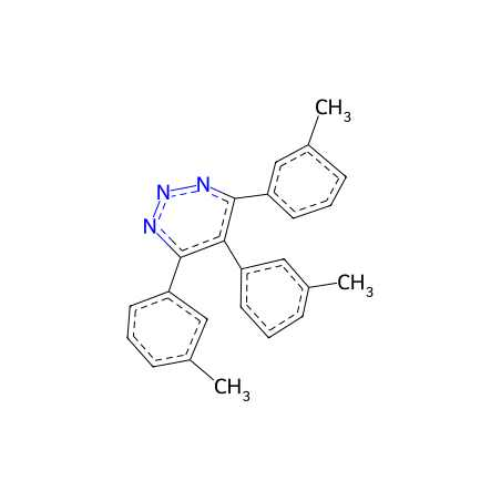 Cc1cccc(-c2nnnc(-c3cccc(C)c3)c2-c2cccc(C)c2)c1